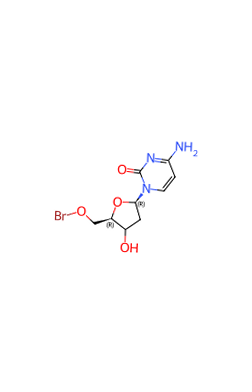 Nc1ccn([C@H]2CC(O)[C@@H](COBr)O2)c(=O)n1